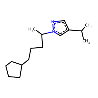 CC(C)c1cnn(C(C)CCCC2CCCC2)c1